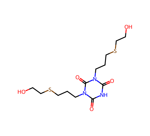 O=c1[nH]c(=O)n(CCCSCCO)c(=O)n1CCCSCCO